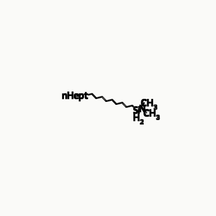 CCCCCCCCCCCCCCCC[SiH2]N(C)C